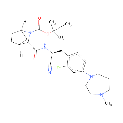 CN1CCCN(c2ccc(C[C@@H](C#N)NC(=O)[C@@H]3[C@H]4CC[C@H](C4)N3C(=O)OC(C)(C)C)c(F)c2)CC1